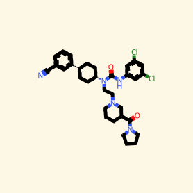 N#Cc1cccc([C@H]2CC[C@@H](N(CCN3CCCC(C(=O)N4CCCC4)C3)C(=O)Nc3cc(Cl)cc(Cl)c3)CC2)c1